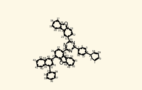 C1=CCC(c2ccc(-c3nc(-c4ccc5oc6ccccc6c5c4)nc(-c4ccc(-c5cc(-c6ccccc6)c6ccccc6c5)c5oc6ccccc6c45)n3)cc2)C=C1